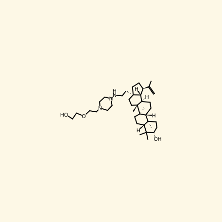 C=C(C)[C@@H]1CC[C@]2(CCNN3CCN(CCOCCO)CC3)CC[C@]3(C)[C@H](CC[C@@H]4[C@@]5(C)CC[C@H](O)C(C)(C)[C@@H]5CC[C@]43C)[C@@H]12